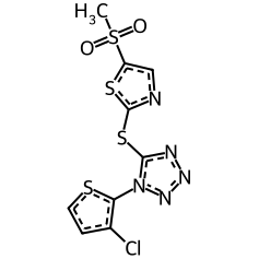 CS(=O)(=O)c1cnc(Sc2nnnn2-c2sccc2Cl)s1